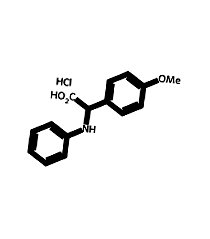 COc1ccc(C(Nc2ccccc2)C(=O)O)cc1.Cl